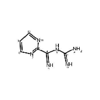 N=C(N)NC(=N)c1ncccn1